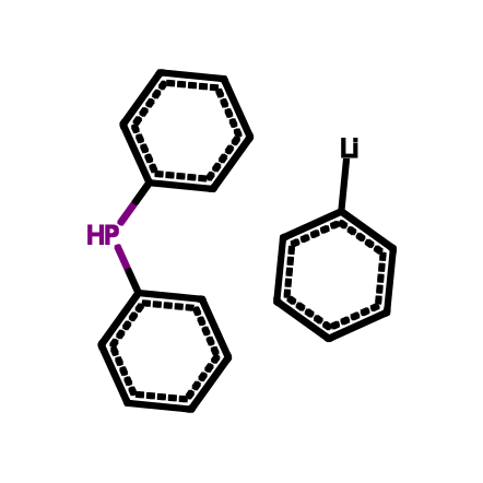 [Li][c]1ccccc1.c1ccc(Pc2ccccc2)cc1